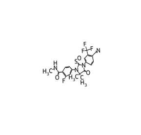 CNC(=O)c1ccc(N2C(=S=O)N(c3ccc(C#N)c(C(F)(F)F)c3)C(=O)C2(C)C)cc1F